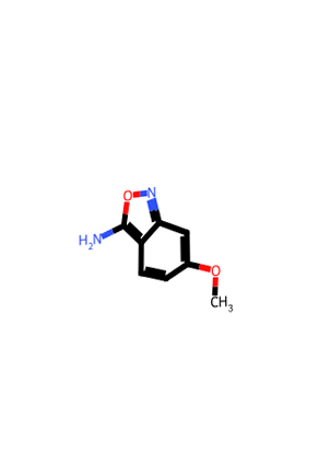 COc1ccc2c(N)onc2c1